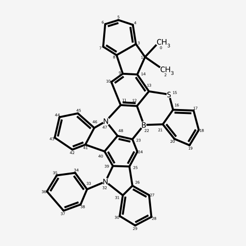 CC1(C)c2ccccc2-c2cc3c4c(c21)Sc1ccccc1B4c1cc2c4ccccc4n(-c4ccccc4)c2c2c4ccccc4n-3c12